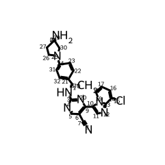 C[C@H](Nc1ncc(C#N)c(-c2cnc3c(Cl)cccn23)n1)c1ccc(N2CC[C@@H](N)C2)cc1